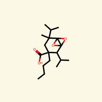 CCCCC1(C(=O)O)CC(C)(C(C)C)C23OC2(O3)C1C(C)C